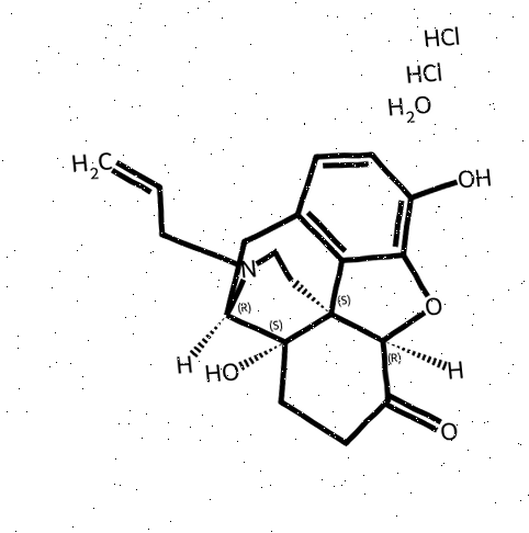 C=CCN1CC[C@]23c4c5ccc(O)c4O[C@H]2C(=O)CC[C@@]3(O)[C@H]1C5.Cl.Cl.O